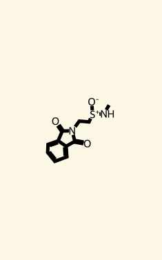 CN[S+]([O-])CCN1C(=O)c2ccccc2C1=O